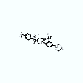 CC(=O)c1ccc(S(=O)(=O)N2CCN(c3ccc(N4CCN(C)CC4)cc3C(F)(F)F)C[C@H]2C)cc1